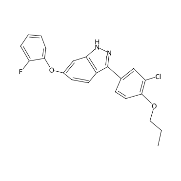 CCCOc1ccc(-c2n[nH]c3cc(Oc4ccccc4F)ccc23)cc1Cl